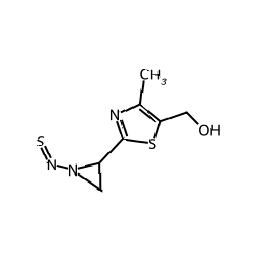 Cc1nc(C2CN2N=S)sc1CO